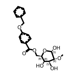 CO[C@@H]1[C@@H](O)[C@@H](O)[C@@H](COC(=O)c2ccc(OCc3ccccc3)cc2)O[C@@H]1O